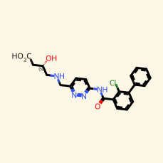 O=C(O)C[C@H](O)CNCc1ccc(NC(=O)c2cccc(-c3ccccc3)c2Cl)nn1